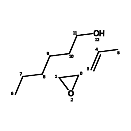 C1CO1.C=CC.CCCCCCO